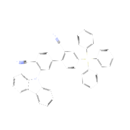 N#Cc1cc(S(c2ccccc2)(c2ccccc2)c2ccccc2)ccc1-c1ccc(C#N)c(-n2c3ccccc3c3ccccc32)c1